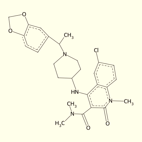 CC(c1ccc2c(c1)OCO2)N1CCC(Nc2c(C(=O)N(C)C)c(=O)n(C)c3ccc(Cl)cc23)CC1